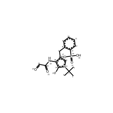 CC(C)(C)n1cc(Cc2ccccc2P(=O)(O)O)c(NC(=O)C=O)c1F